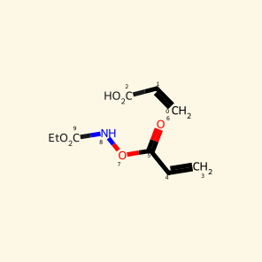 C=CC(=O)O.C=CC(=O)ONC(=O)OCC